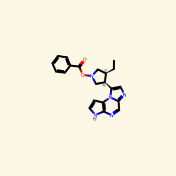 CC[C@@H]1CN(OC(=O)c2ccccc2)C[C@@H]1c1cnc2cnc3[nH]ccc3n12